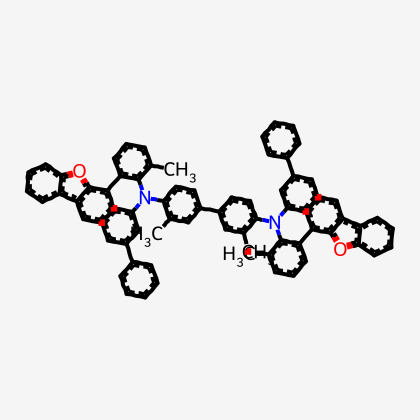 Cc1cc(-c2ccc(N(c3cccc(-c4ccccc4)c3)c3c(C)cccc3-c3cccc4c3oc3ccccc34)c(C)c2)ccc1N(c1cccc(-c2ccccc2)c1)c1c(C)cccc1-c1cccc2c1oc1ccccc12